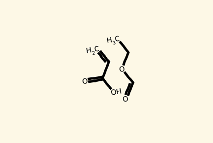 C=CC(=O)O.CCOC=O